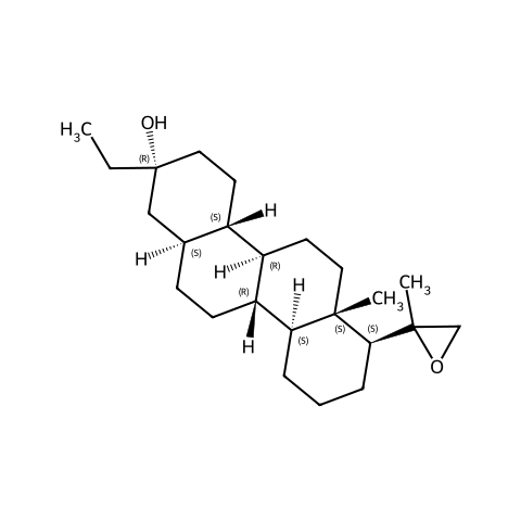 CC[C@@]1(O)CC[C@H]2[C@@H](CC[C@@H]3[C@@H]2CC[C@]2(C)[C@@H](C4(C)CO4)CCC[C@@H]32)C1